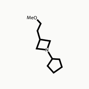 COCCC1CN(C2CCCC2)C1